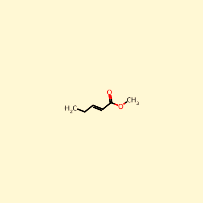 [CH2]C/C=C/C(=O)OC